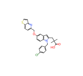 CC(C)(Cc1cc2cc(OCc3ccc4sccc4n3)ccc2n1Cc1ccc(Cl)cc1)C(=O)O